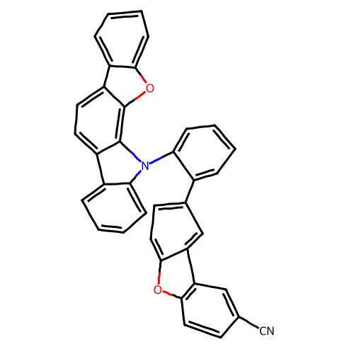 N#Cc1ccc2oc3ccc(-c4ccccc4-n4c5ccccc5c5ccc6c7ccccc7oc6c54)cc3c2c1